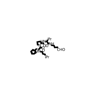 CC(C)CCC(=O)N[C@H](Cc1ccccc1)C(=O)N1CCC[C@H]1C(=O)NC(C(=O)NCCCCC=O)C(C)C